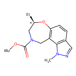 CC[C@@H]1CN(C(=O)OC(C)(C)C)Cc2c(ccc3cnn(C)c23)O1